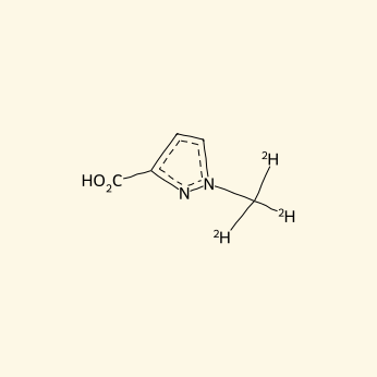 [2H]C([2H])([2H])n1ccc(C(=O)O)n1